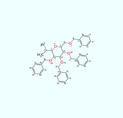 CC(C)C(C)C1OC(COCc2ccccc2)C(OCc2ccccc2)C(OCc2ccccc2)C1OCc1ccccc1